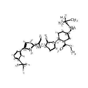 COC(=O)[C@@H]1C[C@H](NC(C)(C)C)CC[C@@H]1N1CC[C@H](NC(=O)c2nc(-c3cccc(C(F)(F)F)c3)cs2)C1=O